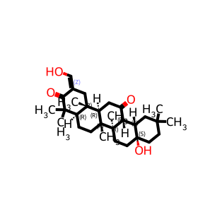 CC1(C)CC[C@]2(O)CC[C@]3(C)[C@H](C(=O)C[C@@H]4[C@@]5(C)C/C(=C/O)C(=O)C(C)(C)[C@@H]5CC[C@]43C)[C@@H]2C1